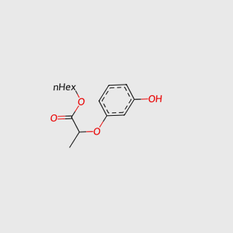 CCCCCCOC(=O)C(C)Oc1cccc(O)c1